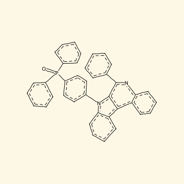 O=P(c1ccccc1)(c1ccccc1)c1ccc(-n2c3ccccc3c3c4ccccc4nc(-c4ccccc4)c32)cc1